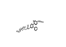 CCCCCCc1ccc(-c2ccc(CNCCCP(=O)(O)O)cc2-c2ccccc2)nc1